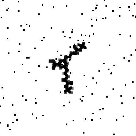 CC(C)(C)OC(=O)NCCOc1cc(OCCNC(=O)OC(C)(C)C)cc(C(=O)O)c1